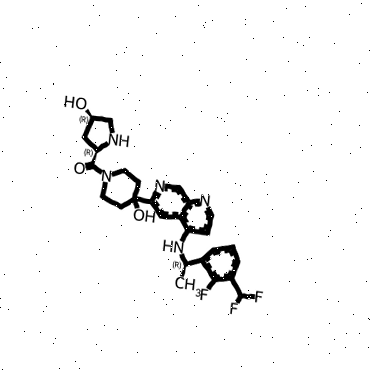 C[C@@H](Nc1ccnc2cnc(C3(O)CCN(C(=O)[C@H]4C[C@@H](O)CN4)CC3)cc12)c1cccc(C(F)F)c1F